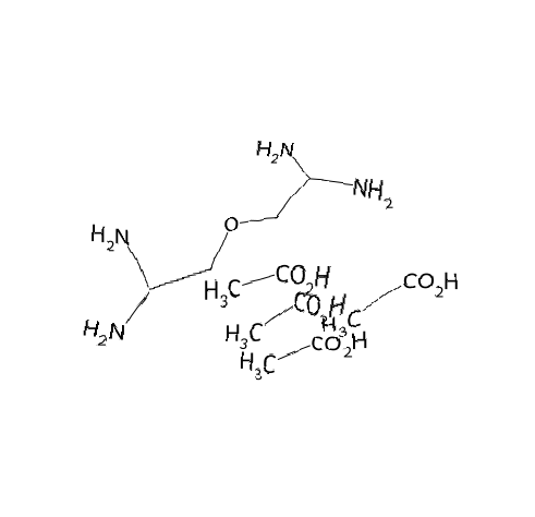 CC(=O)O.CC(=O)O.CC(=O)O.CC(=O)O.NC(N)COCC(N)N